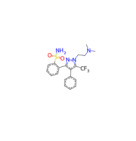 CN(C)CCn1nc(-c2ccccc2S(N)(=O)=O)c(-c2ccccc2)c1C(F)(F)F